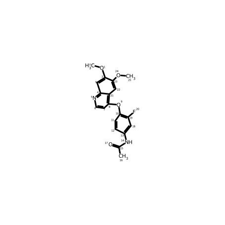 COc1cc2nccc(Oc3ccc(NC(C)=O)cc3F)c2cc1OC